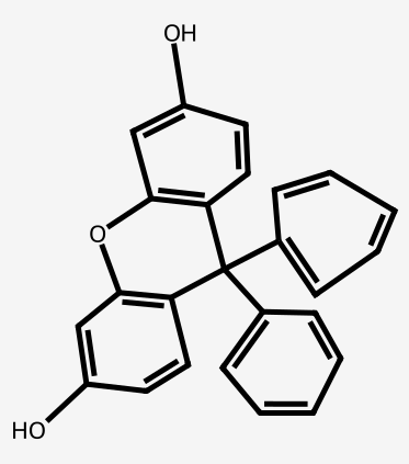 Oc1ccc2c(c1)Oc1cc(O)ccc1C2(c1ccccc1)c1ccccc1